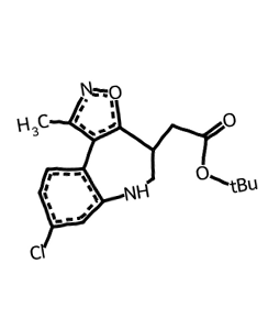 Cc1noc2c1-c1ccc(Cl)cc1NCC2CC(=O)OC(C)(C)C